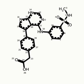 CNS(=O)(=O)c1cccc(Nc2nc[nH]c3ncc(-c4ccc(CC(=O)O)cc4)c2-3)c1